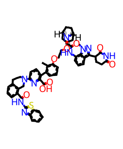 Cc1c(OCCO[C@@H]2C[C@H]3CC[C@@H](C2)N3CC(=O)Nc2cccc3c(C4CCC(=O)NC4=O)nn(C)c23)cccc1-c1ccc(N2CCc3cccc(C(=O)Nc4nc5ccccc5s4)c3C2)nc1C(=O)O